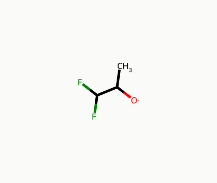 CC([O])C(F)F